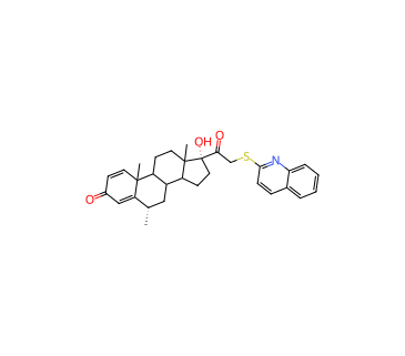 C[C@H]1CC2C(CCC3(C)C2CC[C@]3(O)C(=O)CSc2ccc3ccccc3n2)C2(C)C=CC(=O)C=C12